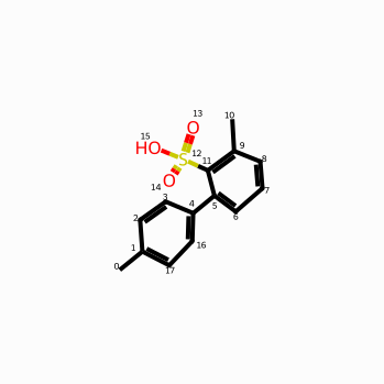 Cc1ccc(-c2cccc(C)c2S(=O)(=O)O)cc1